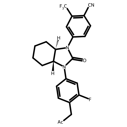 CC(=O)Cc1ccc(N2C(=O)N(c3ccc(C#N)c(C(F)(F)F)c3)[C@@H]3CCCC[C@H]32)cc1F